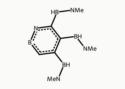 CNBc1cbnc(BNC)c1BNC